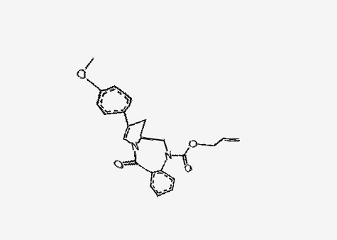 C=CCOC(=O)N1CC2CC(c3ccc(OC)cc3)=CN2C(=O)c2ccccc21